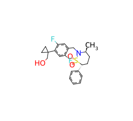 C[C@H]1CC[C@H](c2ccccc2)S(=O)(=O)N1Cc1cc(F)c(C2(CO)CC2)cc1F